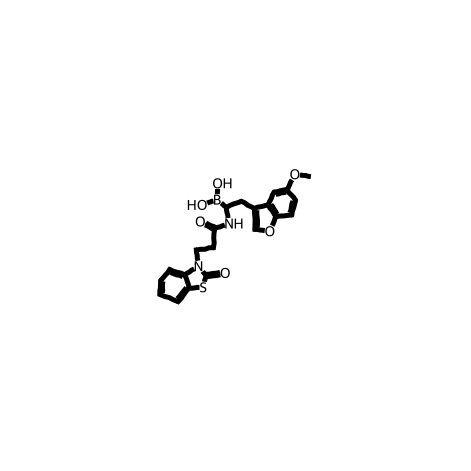 COc1ccc2occ(CC(NC(=O)CCn3c(=O)sc4ccccc43)B(O)O)c2c1